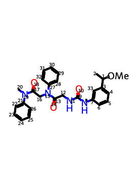 COC(C)c1cccc(NC(=O)NCC(=O)N(CC(=O)N(C)c2ccccc2)c2ccccc2)c1